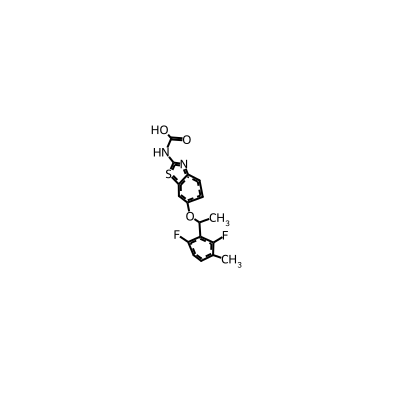 Cc1ccc(F)c(C(C)Oc2ccc3nc(NC(=O)O)sc3c2)c1F